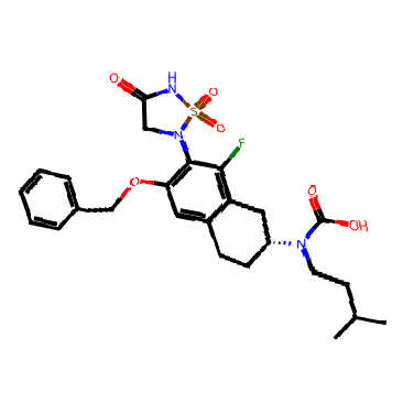 CC(C)CCN(C(=O)O)[C@@H]1CCc2cc(OCc3ccccc3)c(N3CC(=O)NS3(=O)=O)c(F)c2C1